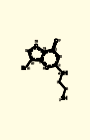 O=c1cc(NCCS)oc2c(Br)coc12